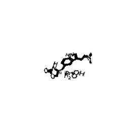 CC(C)O.CN(C)CCc1c[nH]c2ccc(C[C@H]3COC(=O)N3)cc12.O